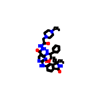 CN1CCN(CC(=O)NNC(=O)c2cnc(Nc3ccc4c(c3)C(C)(C)NC4=O)nc2NC(CO)c2ccccc2)CC1